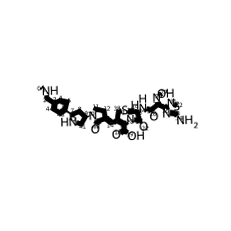 CNCc1ccc([C@H]2C[C@H](N3CCC(=CC4=C(C(=O)O)N5C(=O)[C@@H](NC(=O)C(=NO)c6nsc(N)n6)[C@H]5SC4)C3=O)CN2)cc1